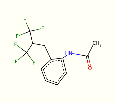 CC(=O)Nc1ccccc1CC(C(F)(F)F)C(F)(F)F